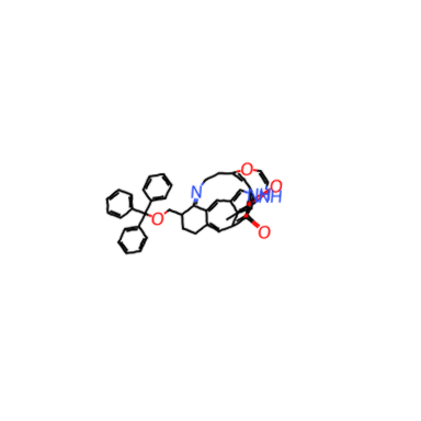 O=C1CC(=O)c2cc3occ[nH]c2/C1=C1\C=C2CCC(COC(c4ccccc4)(c4ccccc4)c4ccccc4)/C(=N/CC3)C2=Cc2c[nH]cc21